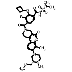 COC[C@H]1CN(c2ccc3c4c(c(=O)oc3c2C)CN(C(=O)c2ccc(C(=O)NS(=O)(=O)N(C)C)c(OC3CCC3)c2F)CC4)CCN1C